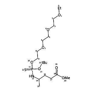 CCOCCOCCOCCOP(=S)(NC(C)CCC(=O)OC)OC(C)(C)C